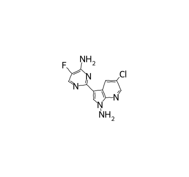 Nc1nc(-c2cn(N)c3ncc(Cl)cc23)ncc1F